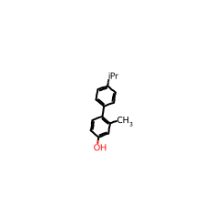 Cc1cc(O)ccc1-c1ccc(C(C)C)cc1